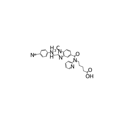 Cn1c(CNc2ccc(C#N)cc2)nc2cc(C(=O)N(CCCCC(=O)O)c3ccccn3)ccc21